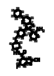 N#Cc1nc2c(C(=O)NC3CCN(Cc4ccc(-n5c(-c6cccnc6N)nc6ccc(-c7ccccc7)nc65)cc4)CC3)cc(F)cc2s1